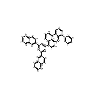 c1ccc(-c2cccc3c2Oc2ccc(-c4nc(-c5ccc6ccccc6c5)nc(-c5ccc6ccccc6c5)n4)c4cccc-3c24)cc1